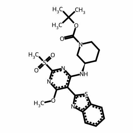 COc1nc(S(C)(=O)=O)nc(N[C@@H]2CCCN(C(=O)OC(C)(C)C)C2)c1-c1nc2ccccc2s1